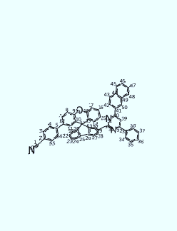 N#Cc1ccc(-c2ccc3c(c2)C2(c4ccccc4O3)c3ccccc3-c3ccc(-c4nc(-c5ccccc5)cc(-c5ccc6ccccc6c5)n4)cc32)cc1